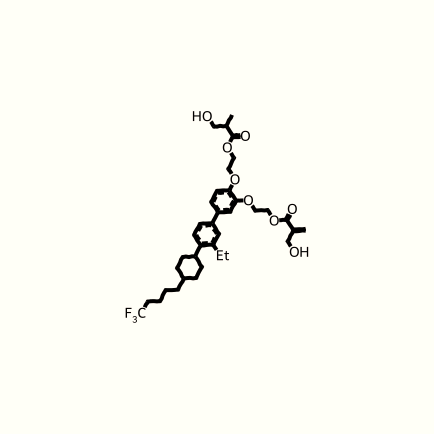 C=C(CO)C(=O)OCCOc1cc(-c2ccc(C3CCC(CCCCC(F)(F)F)CC3)c(CC)c2)ccc1OCCOC(=O)C(C)CO